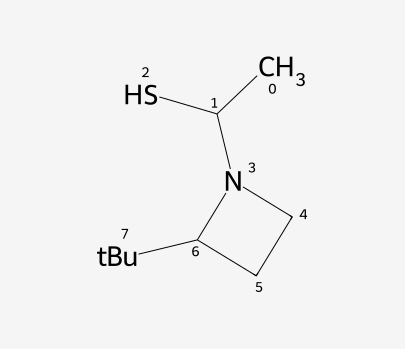 CC(S)N1CCC1C(C)(C)C